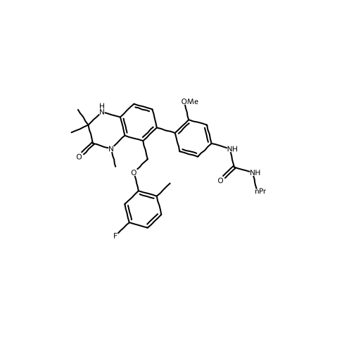 CCCNC(=O)Nc1ccc(-c2ccc3c(c2COc2cc(F)ccc2C)N(C)C(=O)C(C)(C)N3)c(OC)c1